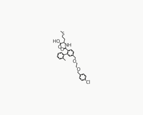 CSCCC(NC(=O)c1ccc(COCCOCc2ccc(Cl)cc2)cc1-c1ccccc1C)C(=O)O